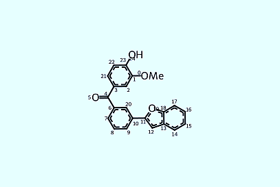 COc1cc(C(=O)c2cccc(-c3cc4ccccc4o3)c2)ccc1O